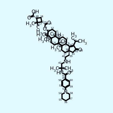 CC(C)C1=C2C3CC[C@@H]4[C@@]5(C)CC[C@H](OC(=O)[C@H]6C[C@@H](C(=O)O)C6(C)C)C(C)(C)[C@@H]5CC[C@@]4(C)[C@]3(C)CC[C@@]2(CCNCC(C)(C)NC(=O)c2ccc(N3CCCCC3)cc2)CC1=O